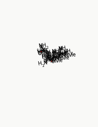 C/C=C(\C=C(/C)C(=O)NC(CCCCN)C(=O)Nc1ccc(OC)c(C(=O)N[C@@H](CCCCN)C(=O)Nc2ccc(OC)c(C(=O)N[C@@H](CCCCN)C(=O)Nc3ccc(OC)c(C(=O)N[C@@H](CCCCN)C(=O)Nc4ccc(OC)c(C(N)=O)c4)c3)c2)c1)C(=O)O